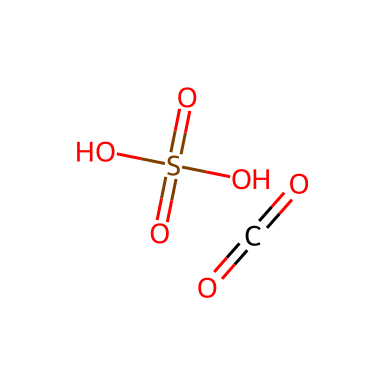 O=C=O.O=S(=O)(O)O